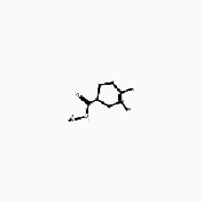 CCCOC(=O)C1CCC(C)=C(C)C1